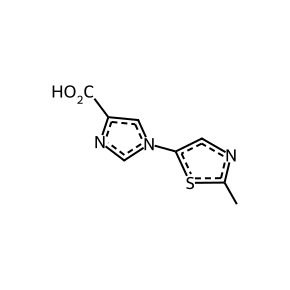 Cc1ncc(-n2cnc(C(=O)O)c2)s1